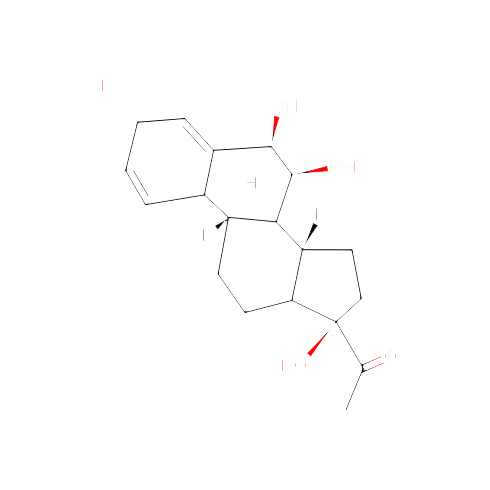 CC(=O)[C@@]1(O)CC[C@H]2[C@@H]3[C@H](O)[C@H](O)C4=C[C@@H](O)C=C[C@]4(C)[C@H]3CC[C@@]21C